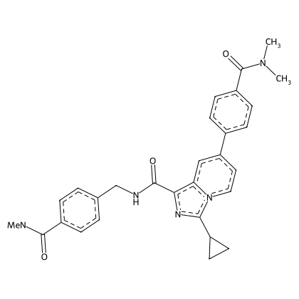 CNC(=O)c1ccc(CNC(=O)c2nc(C3CC3)n3ccc(-c4ccc(C(=O)N(C)C)cc4)cc23)cc1